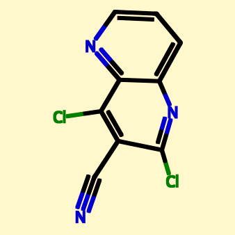 N#Cc1c(Cl)nc2cccnc2c1Cl